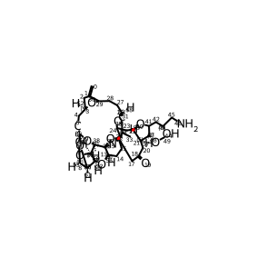 C=C1C[C@@H]2CC[C@@]34C[C@H]5O[C@@H]6[C@@H](O[C@H]7CCC8CC(=O)C[C@H]9C(CC%10O[C@@H](CCC1O2)C[C@@H](C)C%10=NC7(O8)[C@@H]6O3)OC(C[C@H](O)CN)[C@@H]9OC)[C@H]5O4